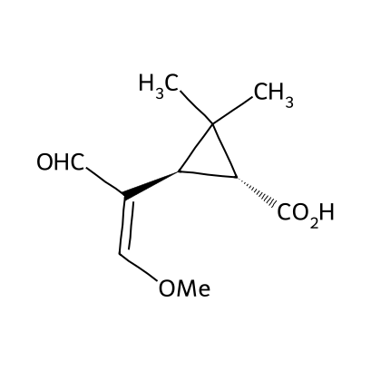 CO/C=C(/C=O)[C@@H]1[C@@H](C(=O)O)C1(C)C